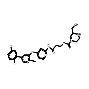 Cc1nnc(-c2cc(Cl)ccc2F)cc1Nc1ccnc(NC(=O)CCOC(=O)N2CCNC(CO)C2)c1